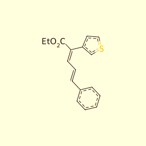 CCOC(=O)C(=CC=Cc1ccccc1)c1ccsc1